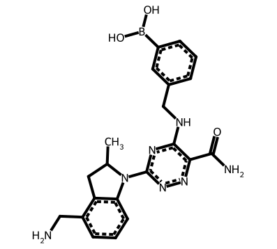 CC1Cc2c(CN)cccc2N1c1nnc(C(N)=O)c(NCc2cccc(B(O)O)c2)n1